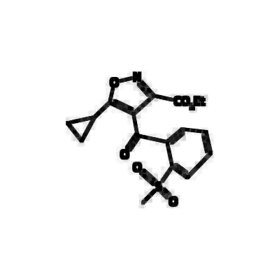 CCOC(=O)c1noc(C2CC2)c1C(=O)c1ccccc1S(C)(=O)=O